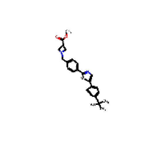 COC(=O)C1CN(Cc2ccc(-c3ncc(-c4ccc(C(C)(C)C)cc4)[se]3)cc2)C1